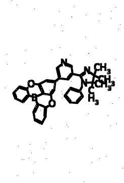 CC1(C)N=C(c2cncc(-c3cc4c5c(c3)Oc3ccccc3B5c3ccccc3O4)c2)N(c2ccccc2)C1(C)C